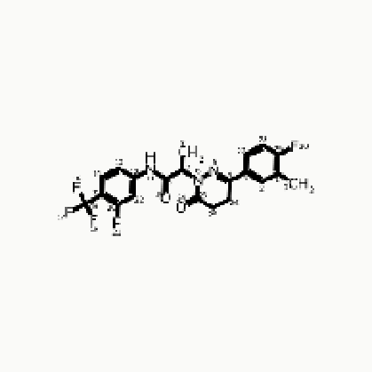 Cc1cc(C2=NN(C(C)C(=O)Nc3ccc(C(F)(F)F)c(F)c3)C(=O)CC2)ccc1F